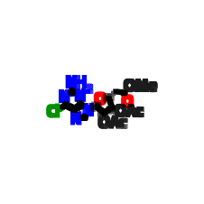 COC(=O)C[C@H]1O[C@@H](n2cnc3c(Cl)nc(N)nc32)[C@H](OC(C)=O)[C@@H]1OC(C)=O